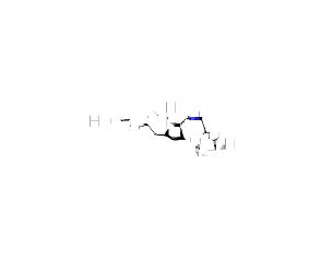 CCOC(=O)Cc1ccc(/C=C\C(OC)OC)[nH]1